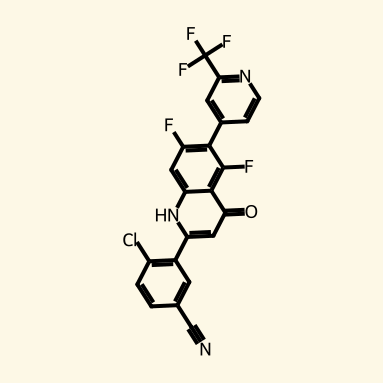 N#Cc1ccc(Cl)c(-c2cc(=O)c3c(F)c(-c4ccnc(C(F)(F)F)c4)c(F)cc3[nH]2)c1